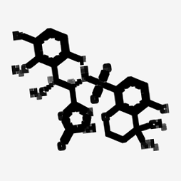 Cc1c(Br)ccc(F)c1[C@@H](C)[C@H](NS(=O)(=O)c1ccc(Cl)c2c1OCCC2(C)N)c1n[nH]c(=O)o1